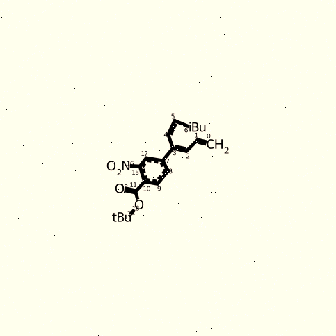 C=C/C=C(\C=C/C(C)CC)c1ccc(C(=O)OC(C)(C)C)c([N+](=O)[O-])c1